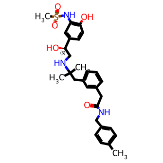 Cc1ccc(CNC(=O)Cc2cccc(CC(C)(C)NC[C@@H](O)c3ccc(O)c(NS(C)(=O)=O)c3)c2)cc1